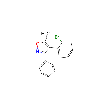 Cc1onc(-c2ccccc2)c1-c1ccccc1Br